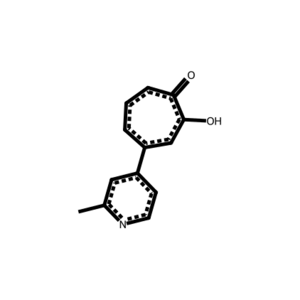 Cc1cc(-c2cccc(=O)c(O)c2)ccn1